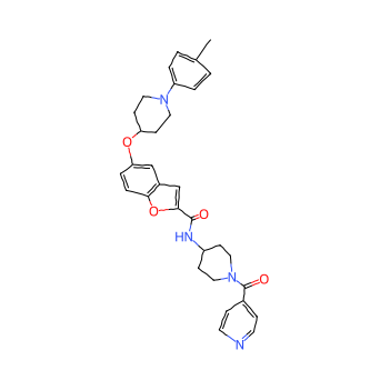 Cc1ccc(N2CCC(Oc3ccc4oc(C(=O)NC5CCN(C(=O)c6ccncc6)CC5)cc4c3)CC2)cc1